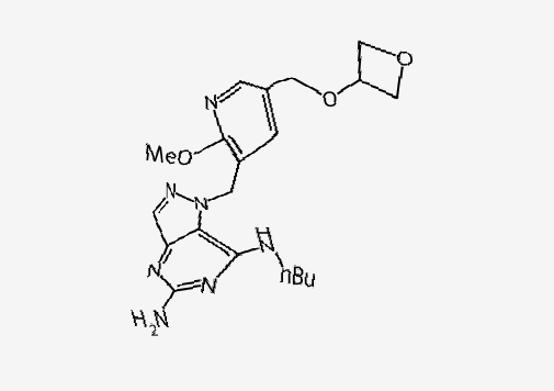 CCCCNc1nc(N)nc2cnn(Cc3cc(COC4COC4)cnc3OC)c12